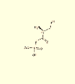 CC(=O)OP(=O)(O)OC(=O)[C@@H](N)CO